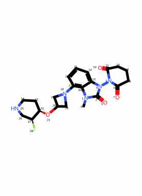 Cn1c(=O)n(N2C(=O)CCCC2=O)c2cccc(N3CC(O[C@@H]4CCNC[C@@H]4F)C3)c21